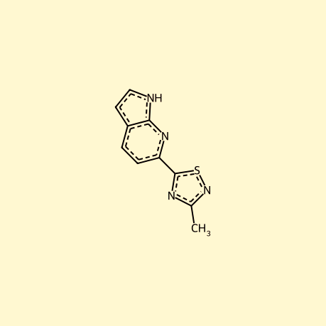 Cc1nsc(-c2ccc3cc[nH]c3n2)n1